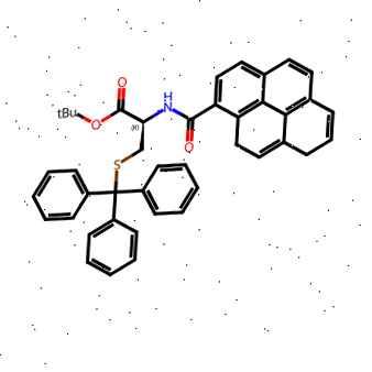 CC(C)(C)OC(=O)[C@H](CSC(c1ccccc1)(c1ccccc1)c1ccccc1)NC(=O)c1ccc2ccc3c4c2c1CC=C4CC=C3